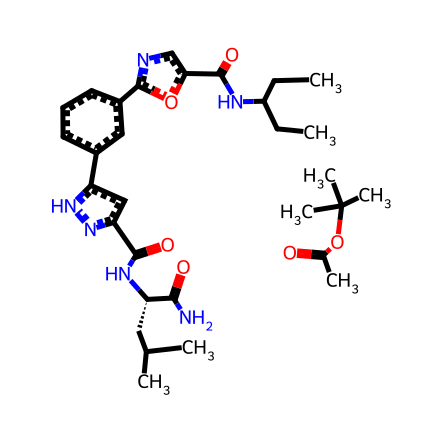 CC(=O)OC(C)(C)C.CCC(CC)NC(=O)c1cnc(-c2cccc(-c3cc(C(=O)N[C@@H](CC(C)C)C(N)=O)n[nH]3)c2)o1